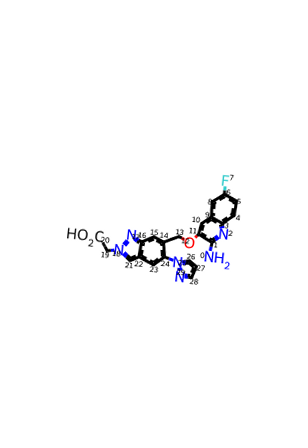 Nc1nc2ccc(F)cc2cc1OCc1cc2nn(CC(=O)O)cc2cc1-n1cccn1